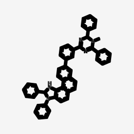 CN1C(c2ccccc2)=NC(c2cccc(-c3ccc4c(ccc5ccc6c(c54)NC(c4ccccc4)N6c4ccccc4)c3)c2)=NC1c1ccccc1